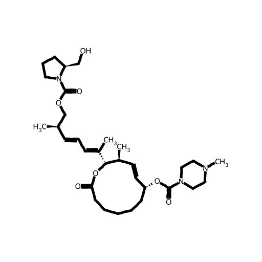 C/C(=C\C=C\[C@@H](C)COC(=O)N1CCC[C@H]1CO)[C@H]1OC(=O)CCCCC[C@@H](OC(=O)N2CCN(C)CC2)/C=C/[C@@H]1C